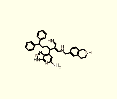 N=C/C(=C\NCc1ccc2c(c1)CCNC2)C(CCC(c1ccccc1)c1ccccc1)c1cc(N)nc2[nH]nnc12